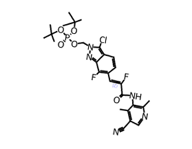 Cc1ncc(C#N)c(C)c1NC(=O)/C(F)=C/c1ccc2c(Cl)n(COP(=O)(OC(C)(C)C)OC(C)(C)C)nc2c1F